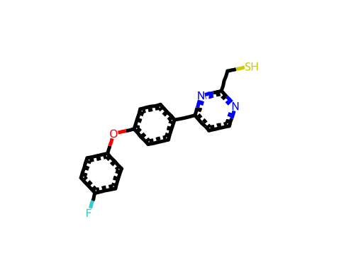 Fc1ccc(Oc2ccc(-c3ccnc(CS)n3)cc2)cc1